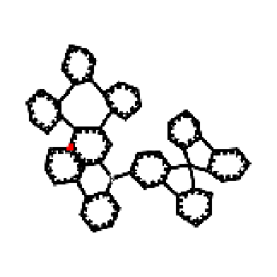 c1ccc(-c2ccccc2N(c2ccc3c(c2)-c2ccccc2-c2ccccc2-c2ccccc2-3)c2ccc3c(c2)-c2ccccc2C32c3ccccc3-c3ccccc32)cc1